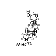 CCOc1cncc(C2=CC[C@H]3[C@@H]4CCC5N(C(=O)OC)CC[C@]5(C)[C@H]4CC[C@]23C)c1